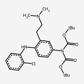 CN(C)CCc1cc(N(C(=O)OC(C)(C)C)C(=O)OC(C)(C)C)ccc1Nc1ccccc1Cl